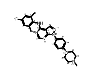 Cc1cc(F)cc(C)c1Nc1ncnc2c1cnn2-c1ccc(N2CCN(C)CC2)cc1